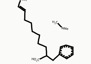 CCCCCCCCC=CCCCCCCC(Cc1ccccc1)C(=O)O.CNC